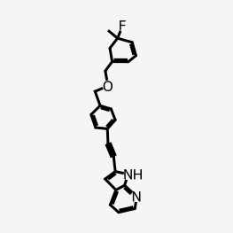 CC1(F)C=CC=C(COCc2ccc(C#Cc3cc4cccnc4[nH]3)cc2)C1